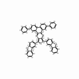 c1ccc(-c2ccc3c4ccc(-c5ccccc5)cc4c4nc5c(-c6ccc7oc8ccccc8c7c6)sc(-c6ccc7oc8ccccc8c7c6)c5nc4c3c2)cc1